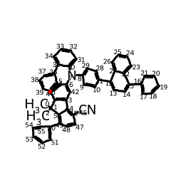 CC1(C)c2ccc(N(c3ccc(-c4ccc(-c5ccccc5)c5ccccc45)cc3)c3ccccc3-c3ccccc3)cc2-c2c(C#N)ccc(-c3ccccc3)c21